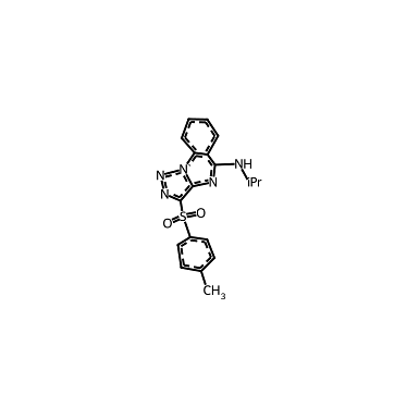 Cc1ccc(S(=O)(=O)c2nnn3c2nc(NC(C)C)c2ccccc23)cc1